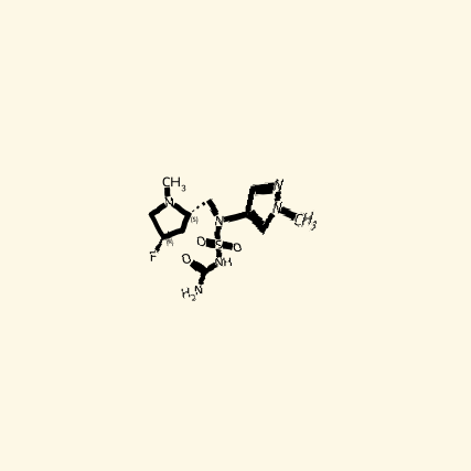 CN1C[C@H](F)C[C@H]1CN(c1cnn(C)c1)S(=O)(=O)NC(N)=O